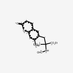 CCOC(=O)C(Cc1cc2ccc(=O)oc2cc1OC(C)=O)(NC=O)C(=O)OCC